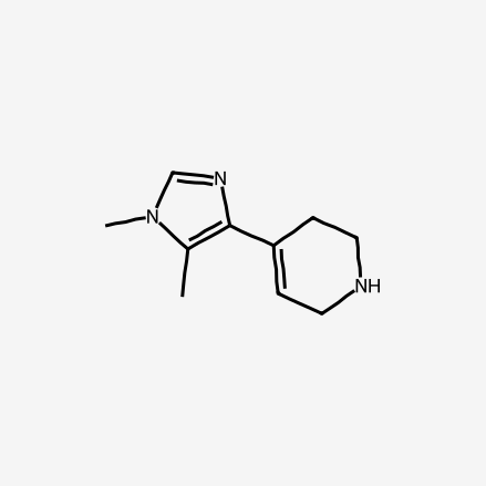 Cc1c(C2=CCNCC2)ncn1C